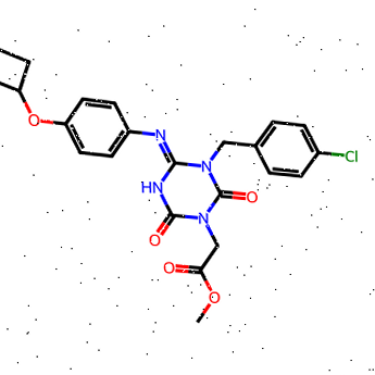 COC(=O)Cn1c(=O)[nH]/c(=N\c2ccc(OC3CCC3)cc2)n(Cc2ccc(Cl)cc2)c1=O